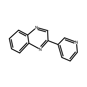 [c]1nc2ccccc2nc1-c1cccnc1